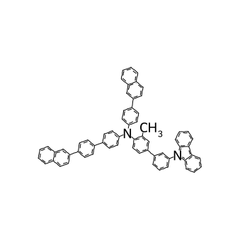 Cc1cc(-c2cccc(-n3c4ccccc4c4ccccc43)c2)ccc1N(c1ccc(-c2ccc(-c3ccc4ccccc4c3)cc2)cc1)c1ccc(-c2ccc3ccccc3c2)cc1